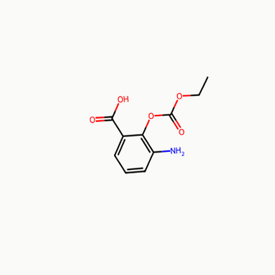 CCOC(=O)Oc1c(N)cccc1C(=O)O